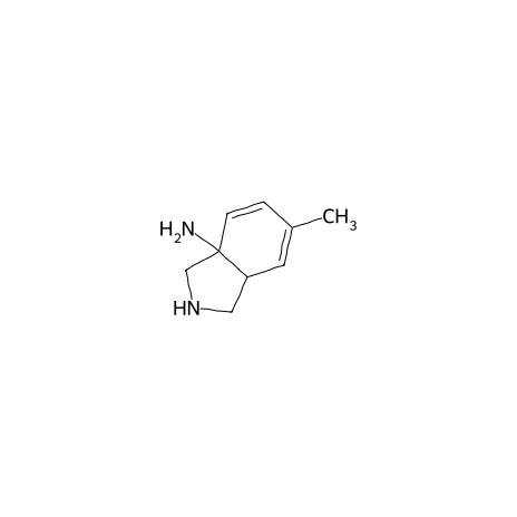 CC1=CC2CNCC2(N)C=C1